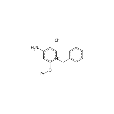 CC(C)Oc1cc(N)cc[n+]1Cc1ccccc1.[Cl-]